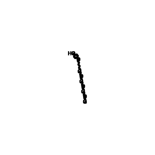 COCCOCCOCCOCCOCCOCCOCCCCCCOc1ccc(O)cc1